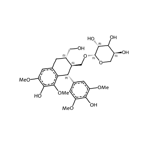 COc1cc([C@@H]2c3c(cc(OC)c(O)c3OC)C[C@H](CO)[C@H]2CO[C@H]2OC[C@H](O)C(O)[C@H]2O)cc(OC)c1O